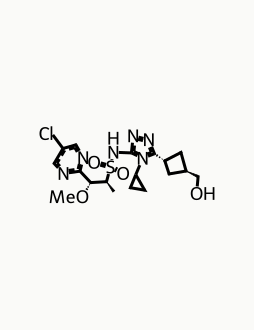 CO[C@H](c1ncc(Cl)cn1)[C@H](C)S(=O)(=O)Nc1nnc([C@H]2C[C@H](CO)C2)n1C1CC1